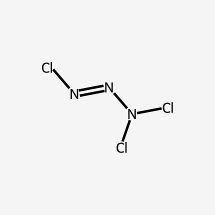 ClN=NN(Cl)Cl